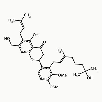 COc1ccc([C@@H]2CC(=O)c3c(cc(CO)c(CC=C(C)C)c3O)O2)c(C/C=C(\C)CCCC(C)(C)O)c1OC